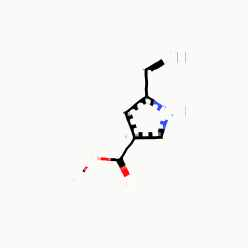 C=Cc1cc(C(=O)OC)c[nH]1